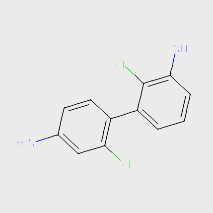 Nc1ccc(-c2cccc(N)c2Cl)c(Cl)c1